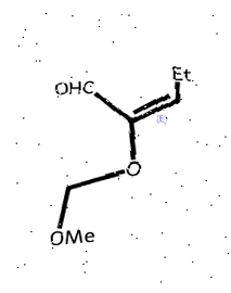 CC/C=C(\C=O)OCOC